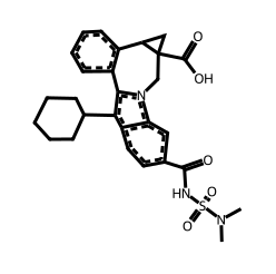 CN(C)S(=O)(=O)NC(=O)c1ccc2c(C3CCCCC3)c3n(c2c1)CC1(C(=O)O)CC1c1ccccc1-3